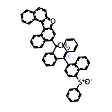 C=C(c1ccccc1/C(=C1/C=CC=CC1)c1ccc([S+]([O-])c2ccccc2)c2ccccc12)c1cc2oc3ccc4ccccc4c3c2c2ccccc12